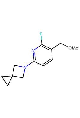 COCc1ccc(N2CC3(CC3)C2)nc1F